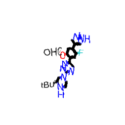 CC(C)(C)[C@H]1CN(c2ncc(-c3cc(F)c(-c4cn[nH]c4)cc3OC=O)nn2)CCN1